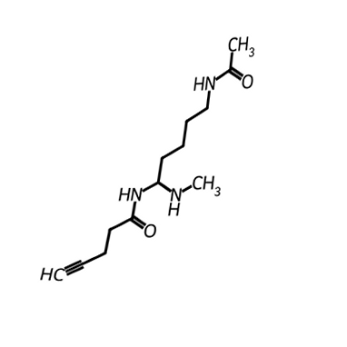 C#CCCC(=O)NC(CCCCNC(C)=O)NC